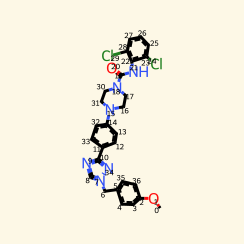 COc1ccc(Cn2cnc(-c3ccc(N4CCN(C(=O)Nc5c(Cl)cccc5Cl)CC4)cc3)n2)cc1